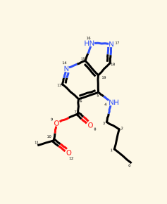 CCCCNc1c(C(=O)OC(C)=O)cnc2[nH]ncc12